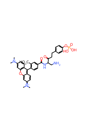 CN(C)c1ccc2c(-c3ccc(C(=O)NC(CN)C(=O)CCc4ccc(OP(=O)(O)O)cc4)cc3C(=O)O)c3ccc(=[N+](C)C)cc-3oc2c1